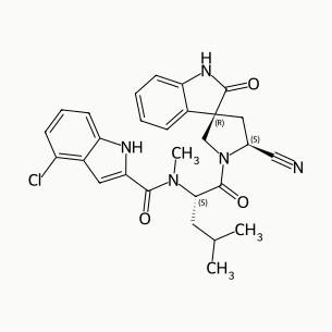 CC(C)C[C@@H](C(=O)N1C[C@]2(C[C@H]1C#N)C(=O)Nc1ccccc12)N(C)C(=O)c1cc2c(Cl)cccc2[nH]1